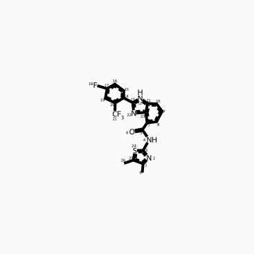 Cc1nc(NC(=O)c2cccc3[nH]c(-c4ccc(F)cc4C(F)(F)F)nc23)sc1C